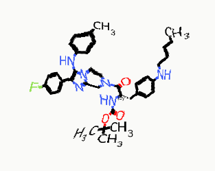 CCCCCNc1ccc(C[C@H](NC(=O)OC(C)(C)C)C(=O)N2CCn3c(nc(-c4ccc(F)cc4)c3Nc3ccc(C)cc3)C2)cc1